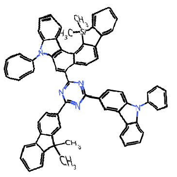 CC1(C)c2ccccc2-c2ccc(-c3nc(-c4ccc5c(c4)c4ccccc4n5-c4ccccc4)nc(-c4cc5c(c6ccccc6n5-c5ccccc5)c5c6c(ccc45)-c4ccccc4[Si]6(C)C)n3)cc21